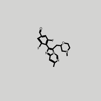 Cc1cc2nc(-c3c(F)cc(C=O)cc3F)c(CC3CN(C)CCO3)n2cn1